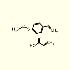 C=CC(=O)O.C=Cc1ccccc1.[SiH3]O[SiH3]